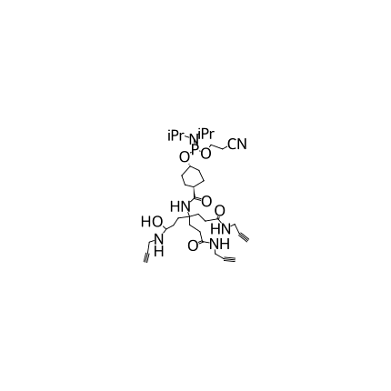 C#CCNC(=O)CCC(CCC(=O)NCC#C)(CCC(O)NCC#C)NC(=O)[C@H]1CC[C@H](OP(OCCC#N)N(C(C)C)C(C)C)CC1